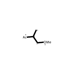 COCC(C)C(C)=O